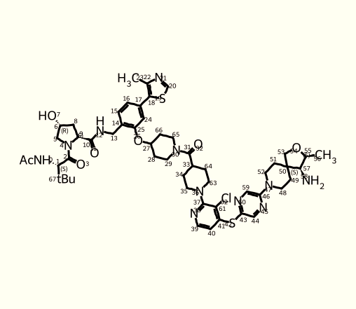 CC(=O)N[C@H](C(=O)N1C[C@H](O)C[C@H]1C(=O)NCc1ccc(-c2scnc2C)cc1OC1CCN(C(=O)C2CCN(c3nccc(Sc4cnc(N5CCC6(CC5)CO[C@@H](C)[C@H]6N)cn4)c3Cl)CC2)CC1)C(C)(C)C